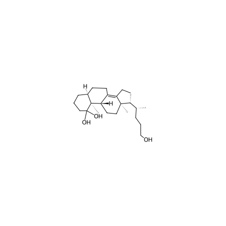 C[C@H](CCCO)[C@H]1CCC2=C3CC[C@@H]4CCCC(O)(O)[C@]4(C)[C@H]3CC[C@@]21C